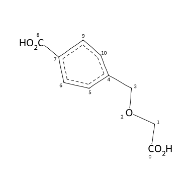 O=C(O)COCc1ccc(C(=O)O)cc1